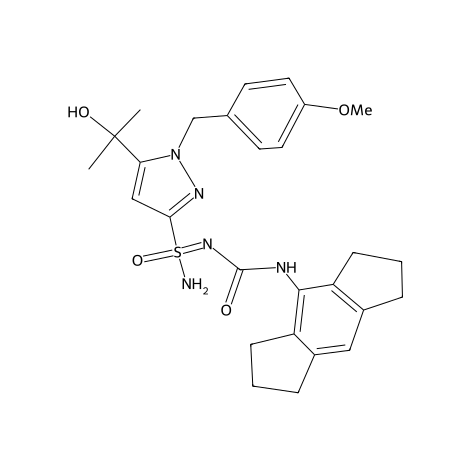 COc1ccc(Cn2nc(S(N)(=O)=NC(=O)Nc3c4c(cc5c3CCC5)CCC4)cc2C(C)(C)O)cc1